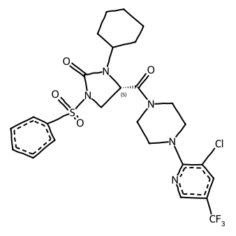 O=C([C@@H]1CN(S(=O)(=O)c2ccccc2)C(=O)N1C1CCCCC1)N1CCN(c2ncc(C(F)(F)F)cc2Cl)CC1